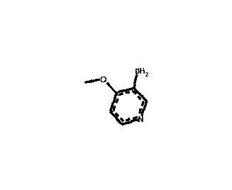 Bc1cnccc1OC